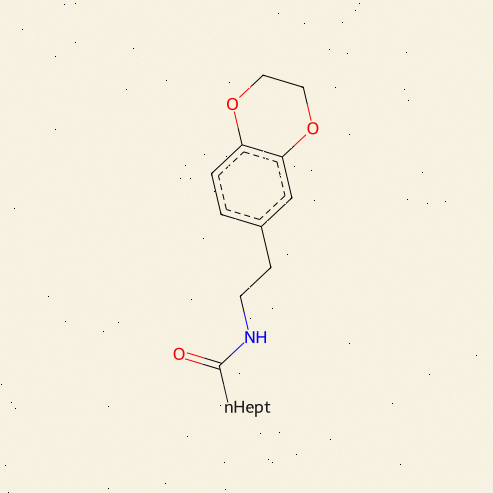 CCCCCCCC(=O)NCCc1ccc2c(c1)OCCO2